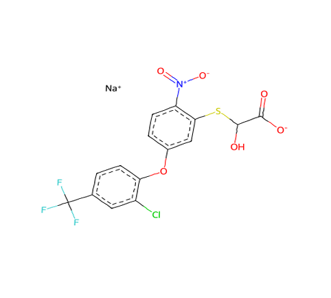 O=C([O-])C(O)Sc1cc(Oc2ccc(C(F)(F)F)cc2Cl)ccc1[N+](=O)[O-].[Na+]